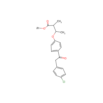 CC(C)OC(=O)C(C)C(C)Oc1ccc(C(=O)Cc2ccc(Cl)cc2)cc1